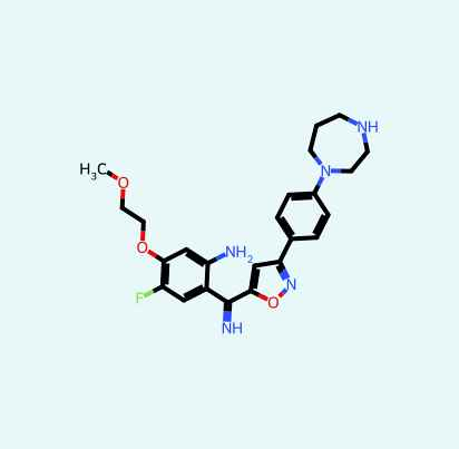 COCCOc1cc(N)c(C(=N)c2cc(-c3ccc(N4CCCNCC4)cc3)no2)cc1F